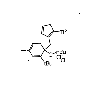 CCCCOC1(CC2=[C]([Ti+2])CC=C2)CC=C(C)C=C1C(C)(C)C.[Cl-].[Cl-]